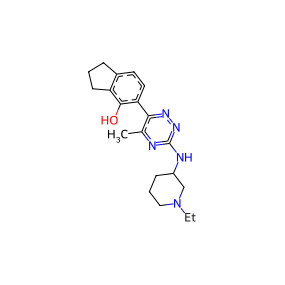 CCN1CCCC(Nc2nnc(-c3ccc4c(c3O)CCC4)c(C)n2)C1